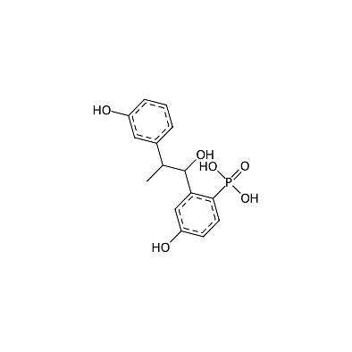 CC(c1cccc(O)c1)C(O)c1cc(O)ccc1P(=O)(O)O